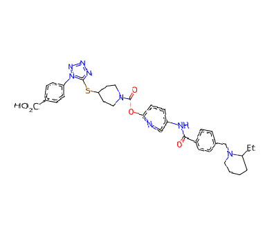 CCC1CCCCN1Cc1ccc(C(=O)Nc2ccc(OC(=O)N3CCC(Sc4nnnn4-c4ccc(C(=O)O)cc4)CC3)nc2)cc1